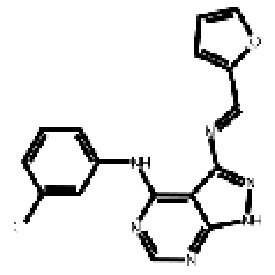 Clc1cccc(Nc2ncnc3[nH]nc(N=Cc4ccco4)c23)c1